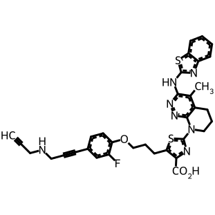 C#CCNCC#Cc1ccc(OCCCc2sc(N3CCCc4c3nnc(Nc3nc5ccccc5s3)c4C)nc2C(=O)O)c(F)c1